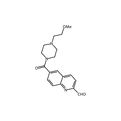 COCCN1CCN(C(=O)c2ccc3nc(C=O)ccc3c2)CC1